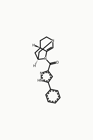 O=C(c1cc(-c2ccccc2)[nH]n1)N1C2=CN3CC[C@H]2C[C@H]1C3